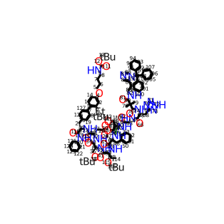 CCc1cc(OCCCCNC(=O)OC(C)(C)C)ccc1-c1ccc(C[C@H](NC(=O)[C@H](CC(=O)OC(C)(C)C)NC(=O)[C@H](COC(C)(C)C)NC(=O)[C@@H](NC(=O)[C@](C)(Cc2ccccc2F)NC(=O)[C@@H](NC(=O)CNC(=O)[C@H](Cc2nn[nH]n2)NC(=O)C(C)(C)C(=O)NCCc2cncn2C(c2ccccc2)(c2ccccc2)c2ccccc2)[C@@H](C)OC(C)(C)C)[C@@H](C)OC(C)(C)C)C(=O)Nc2ccccc2)cc1